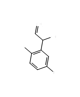 [CH2]C(C=C)c1cc(F)ccc1Cl